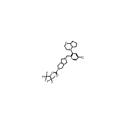 O=C(OC(C(F)(F)F)C(F)(F)F)N1CC2CN(Cc3ccc(Cl)cc3N3CCOC4CCCC43)CC2C1